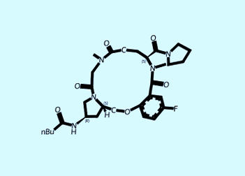 CCCCC(=O)N[C@@H]1C[C@H]2COc3ccc(F)cc3C(=O)N(C)[C@H](C(=O)N3CCCC3)CCC(=O)N(C)CC(=O)N2C1